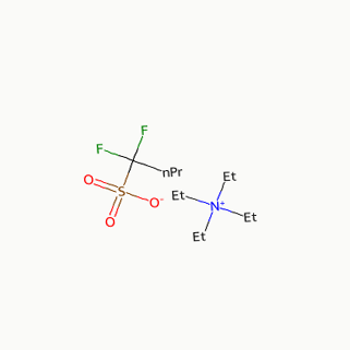 CCCC(F)(F)S(=O)(=O)[O-].CC[N+](CC)(CC)CC